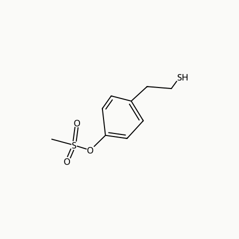 CS(=O)(=O)Oc1ccc(CCS)cc1